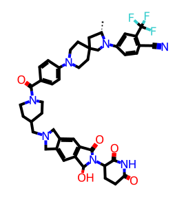 C[C@H]1CC2(CCN(c3ccc(C(=O)N4CCC(CN5Cc6cc7c(cc6C5)C(O)N(C5CCC(=O)NC5=O)C7=O)CC4)cc3)CC2)CN1c1ccc(C#N)c(C(F)(F)F)c1